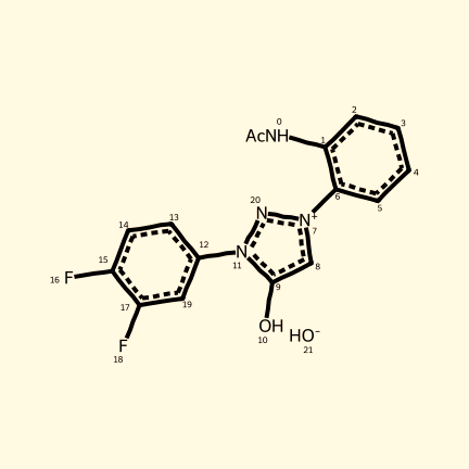 CC(=O)Nc1ccccc1-[n+]1cc(O)n(-c2ccc(F)c(F)c2)n1.[OH-]